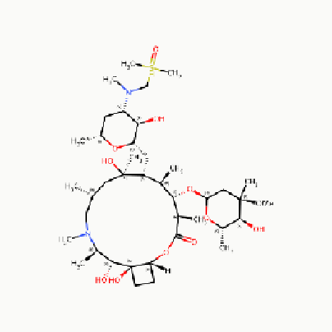 CO[C@]1(C)C[C@H](O[C@H]2[C@H](C)[C@@H](C[C@@H]3O[C@H](C)C[C@H](N(C)C[SH](C)(C)=O)[C@H]3O)[C@](C)(O)C[C@@H](C)CN(C)[C@H](C)[C@@H](O)[C@@]3(O)CC[C@H]3OC(=O)[C@@H]2C)O[C@@H](C)[C@@H]1O